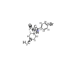 C/C(=N\C1(NC=O)CCN(C)CC1)c1ccc(Br)cc1